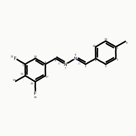 Cc1ccc(/C=N/N=C/c2cc(F)c(C)c(F)c2)cc1